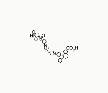 O=C1CC[C@@H](N2Cc3cc(N4CCN(CC5CCN(c6ccc(C7=C(c8ccccc8)CCCc8cc(C(=O)O)ccc87)cc6)CC5)CC4)ccc3C2=O)C(=O)N1